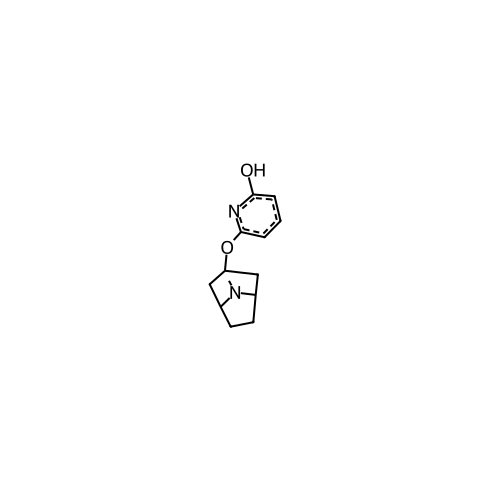 CN1C2CCC1CC(Oc1cccc(O)n1)C2